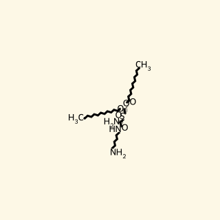 CCCCCCCCCCCC(=O)OC[C@H](CSC[C@H](N)C(=O)NCCCCCCN)OC(=O)CCCCCCCCCCC